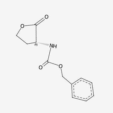 O=C(N[C@@H]1CCOC1=O)OCc1ccccc1